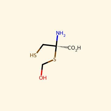 N[C@](CS)(SCO)C(=O)O